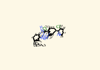 CC(C)(C)c1ccc2c(c1)NC(Cl)(c1ccc(-c3ncccc3Cl)cc1)N2